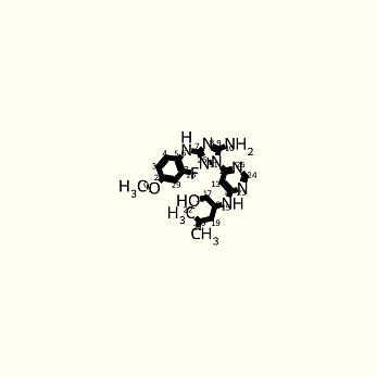 COc1ccc(Nc2nc(N)n(-c3cc(NC(CO)CC(C)C)ncn3)n2)c(F)c1